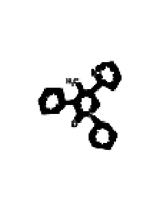 Cc1c(-c2ccccn2)cn(-c2ccccc2)c(=O)c1-c1ccccc1